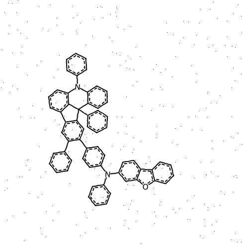 c1ccc(-c2cc3c(cc2-c2ccc(N(c4ccccc4)c4ccc5c(c4)oc4ccccc45)cc2)C2(c4ccccc4)c4ccccc4N(c4ccccc4)c4cccc-3c42)cc1